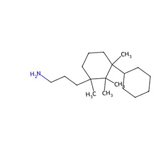 CC1(CCCN)CCCC(C)(C2CCCCC2)C1(C)C